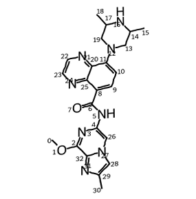 COc1nc(NC(=O)c2ccc(N3CC(C)NC(C)C3)c3nccnc23)cn2cc(C)nc12